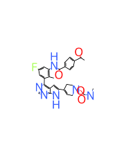 CC(=O)c1ccc(C(=O)Nc2cc(F)cc(-c3ncnc4[nH]c(C5=CCN(OC(=O)N(C)C)CC5)cc34)c2C)cc1